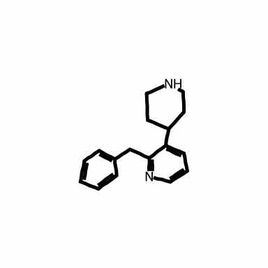 c1ccc(Cc2ncccc2C2CCNCC2)cc1